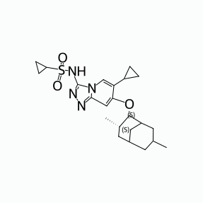 CC1CC2CC(C1)[C@@H](Oc1cc3nnc(NS(=O)(=O)C4CC4)n3cc1C1CC1)[C@@H](C)C2